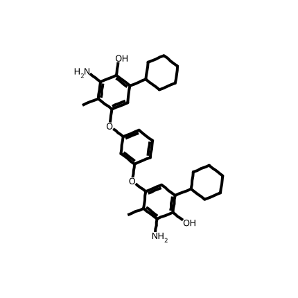 Cc1c(Oc2cccc(Oc3cc(C4CCCCC4)c(O)c(N)c3C)c2)cc(C2CCCCC2)c(O)c1N